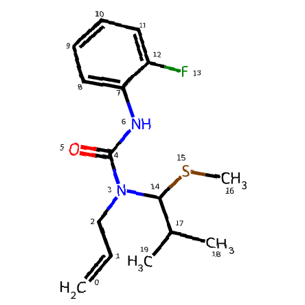 C=CCN(C(=O)Nc1ccccc1F)C(SC)C(C)C